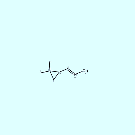 CC1(C)[CH]C1C=NO